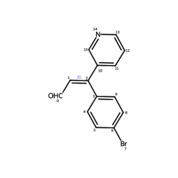 O=C/C=C(\c1ccc(Br)cc1)c1cccnc1